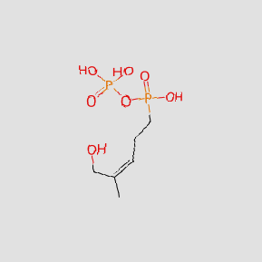 CC(=CCCP(=O)(O)OP(=O)(O)O)CO